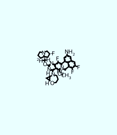 [2H]C([2H])(Oc1nc(N2CCCO[C@@H]3C[C@@H]32)c2c(OC)nc(-c3cc(N)cc4cc(F)c(F)c(C#C)c34)c(F)c2n1)[C@@]12CCCN1C[C@H](F)C2